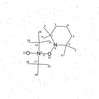 CC1(C)CCCC(C)(C)N1O[N+]([O])(C(C)(C)C)C(C)(C)C